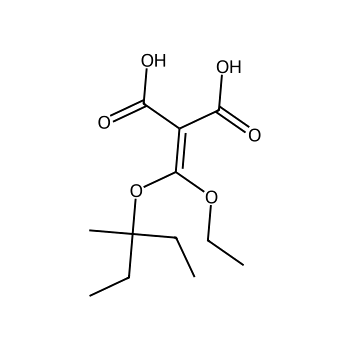 CCOC(OC(C)(CC)CC)=C(C(=O)O)C(=O)O